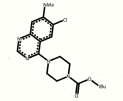 CNc1cc2ncnc(N3CCN(C(=O)OC(C)(C)C)CC3)c2cc1Cl